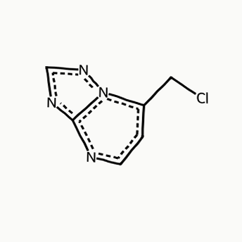 ClCc1ccnc2ncnn12